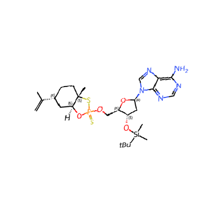 C=C(C)[C@@H]1CC[C@]2(C)SP(=S)(OC[C@H]3O[C@@H](n4cnc5c(N)ncnc54)C[C@@H]3O[Si](C)(C)C(C)(C)C)O[C@H]2C1